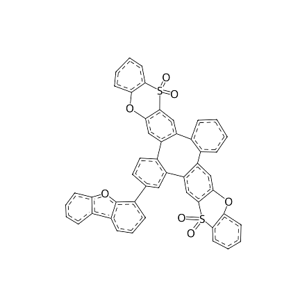 O=S1(=O)c2ccccc2Oc2cc3c(cc21)-c1ccccc1-c1cc2c(cc1-c1cc(-c4cccc5c4oc4ccccc45)ccc1-3)S(=O)(=O)c1ccccc1O2